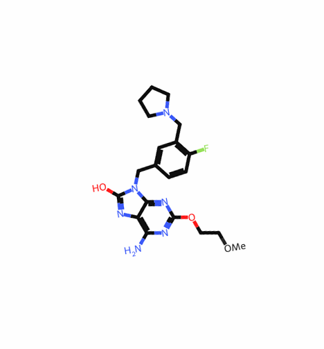 COCCOc1nc(N)c2nc(O)n(Cc3ccc(F)c(CN4CCCC4)c3)c2n1